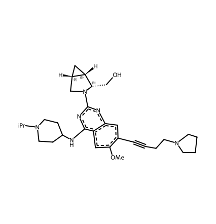 COc1cc2c(NC3CCN(C(C)C)CC3)nc(N3C[C@@H]4C[C@@H]4[C@@H]3CO)nc2cc1C#CCCN1CCCC1